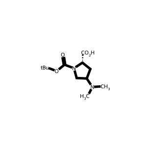 CN(C)C1C[C@@H](C(=O)O)N(C(=O)OC(C)(C)C)C1